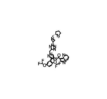 CN1CCC[C@H]1CN1CC(n2nnc(Cn3cc(NC(=O)c4cnn5cccnc45)c(-c4cc(OC(F)F)ccc4OC(F)F)n3)n2)C1